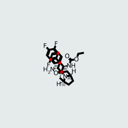 CCOC(=O)N[C@@H](C(=O)N1[C@@H]2CC[C@H]1C[C@H]([C@H](N)Cc1cc(F)c(F)cc1F)C2)c1ccccc1